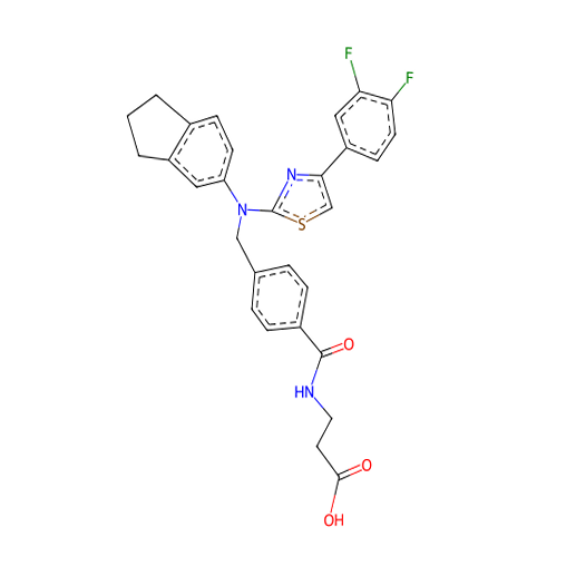 O=C(O)CCNC(=O)c1ccc(CN(c2ccc3c(c2)CCC3)c2nc(-c3ccc(F)c(F)c3)cs2)cc1